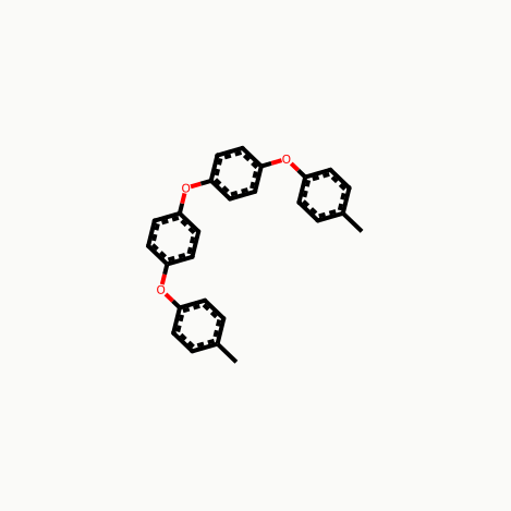 Cc1ccc(Oc2ccc(Oc3ccc(Oc4ccc(C)cc4)cc3)cc2)cc1